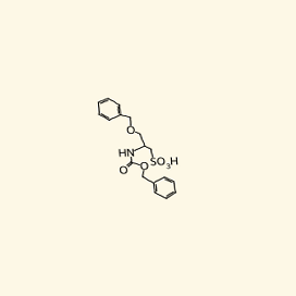 O=C(NC(COCc1ccccc1)CS(=O)(=O)O)OCc1ccccc1